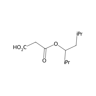 CC(C)CC(OC(=O)CC(=O)O)C(C)C